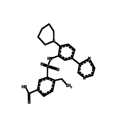 CCc1ccc(C(=O)O)cc1S(=O)(=O)Nc1cc(-c2cnccn2)ccc1N1CCCCC1